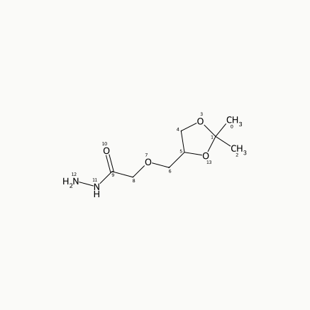 CC1(C)OCC(COCC(=O)NN)O1